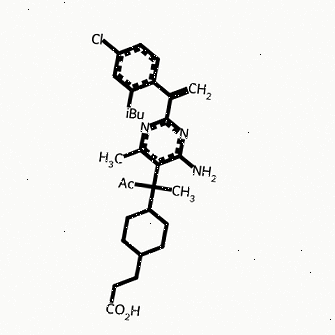 C=C(c1nc(C)c(C(C)(C(C)=O)C2CCC(CCC(=O)O)CC2)c(N)n1)c1ccc(Cl)cc1C(C)CC